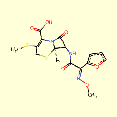 CO/N=C(/C(=O)N[C@@H]1C(=O)N2C(C(=O)O)=C(SC)CS[C@H]12)c1ccco1